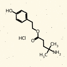 CC(C)(N)CCC(=O)OCCc1ccc(O)cc1.Cl